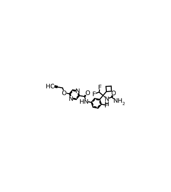 C#CCOc1cnc(C(=O)Nc2ccc(F)c([C@](NC(N)=O)(C(F)F)C3CCC3)c2)cn1